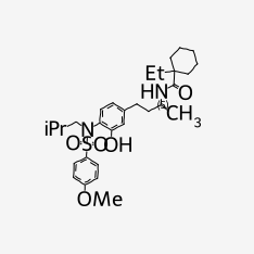 CCC1(C(=O)N[C@@H](C)CCc2ccc(N(CC(C)C)S(=O)(=O)c3ccc(OC)cc3)c(O)c2)CCCCC1